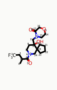 CC(CC(F)(F)F)C(=O)N1CCC(O)(CN2CCOCC2=O)C2(CCCC2)C1